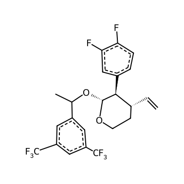 C=C[C@@H]1CCO[C@H](OC(C)c2cc(C(F)(F)F)cc(C(F)(F)F)c2)[C@H]1c1ccc(F)c(F)c1